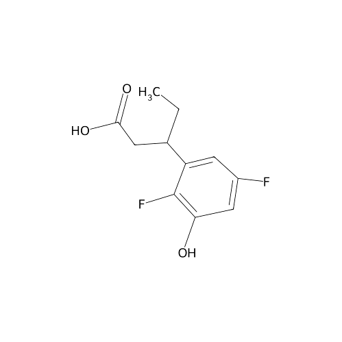 CCC(CC(=O)O)c1cc(F)cc(O)c1F